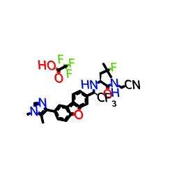 Cc1c(-c2ccc3oc4cc([C@H](N[C@@H](CC(C)(C)F)C(=O)NCC#N)C(F)(F)F)ccc4c3c2)ncn1C.O=C(O)C(F)(F)F